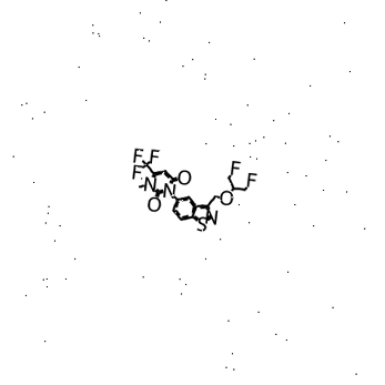 Cn1c(C(F)(F)F)cc(=O)n(-c2ccc3snc(COC(CF)CF)c3c2)c1=O